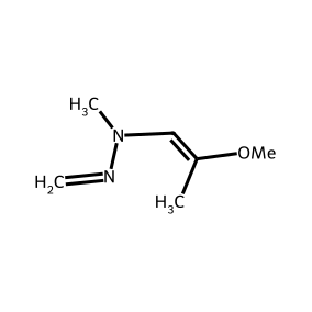 C=NN(C)/C=C(\C)OC